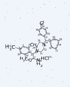 Cc1cc(C)c(C(C(N)=O)N2CCN(C(c3ccccc3)c3ccc(Cl)cc3)CC2)c(C)c1.Cl